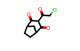 O=C(CCl)C1C(=O)C2CCC(C2)C1=O